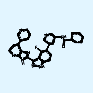 O=C(Nc1cncc(-c2ccc3[nH]nc(-c4nc5c(-c6cccnc6)ccnc5[nH]4)c3c2F)c1)c1ccccc1